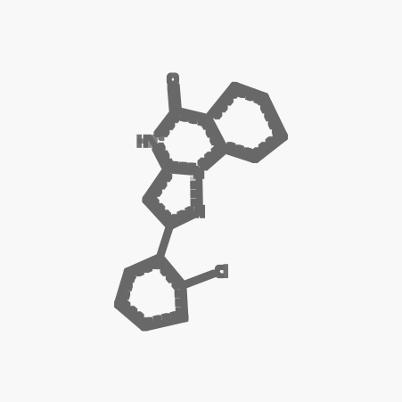 O=c1[nH]c2cc(-c3ccccc3Cl)nn2c2ccccc12